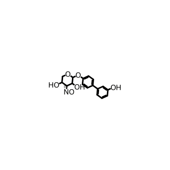 O=N[C@H]1C(O)COC(Oc2ccc(-c3cccc(O)c3)cc2)C1O